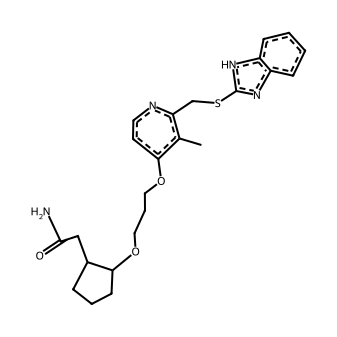 Cc1c(OCCCOC2CCCC2CC(N)=O)ccnc1CSc1nc2ccccc2[nH]1